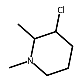 CC1C(Cl)CCCN1C